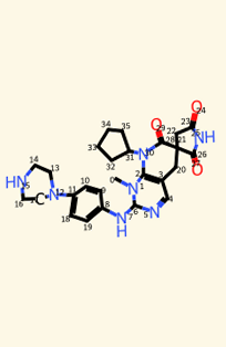 CN1C2=C(C=NC1Nc1ccc(N3CCNCC3)cc1)CC1(CC(=O)NC1=O)C(=O)N2C1CCCC1